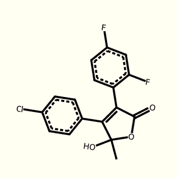 CC1(O)OC(=O)C(c2ccc(F)cc2F)=C1c1ccc(Cl)cc1